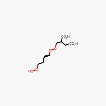 O=C(O)CC(COO/C=C/CCOO)C(=O)O